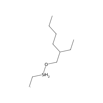 [CH2]C[SiH2]OCC(CC)CCCC